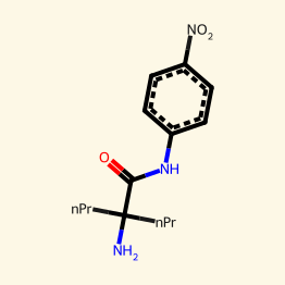 CCCC(N)(CCC)C(=O)Nc1ccc([N+](=O)[O-])cc1